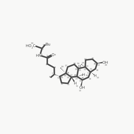 CCC(C)C(NC(=O)CCC(C)[C@H]1CC[C@H]2[C@@H]3[C@H](O)C[C@@H]4C[C@H](O)CC[C@]4(C)[C@H]3CC[C@]12C)C(=O)O